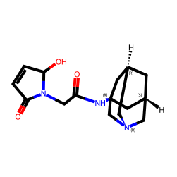 O=C(CN1C(=O)C=CC1O)N[C@@]12C[C@@H]3C[C@@H](C[N@](C3)C1)C2